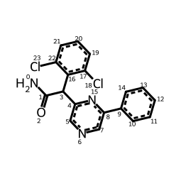 NC(=O)C(c1cncc(-c2ccccc2)n1)c1c(Cl)cccc1Cl